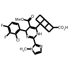 COC(=O)C1=C(C23C4C5C2C2C3C4C52C(=O)O)NC(c2nccn2C)=NC1c1ccc(F)c(F)c1Cl